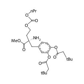 CCCOC(=O)OCC[C@@](N)(Cc1ccc(OC(=O)CC(C)(C)C)c(OC(=O)CC(C)(C)C)c1)C(=O)OC